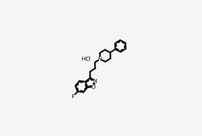 Cl.Fc1ccc2c(CCCN3CCC(c4ccccc4)CC3)noc2c1